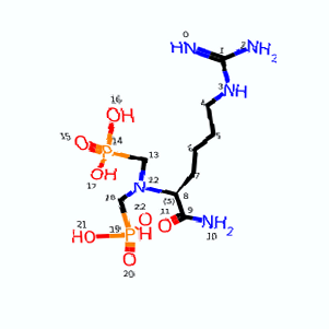 N=C(N)NCCCC[C@@H](C(N)=O)N(CP(=O)(O)O)CP(=O)(O)O